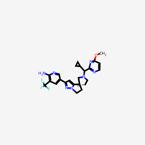 COc1ccnc(C(C2CC2)N2CC[C@@]3(CCn4nc(-c5cnc(N)c(C(F)(F)F)c5)cc43)C2)n1